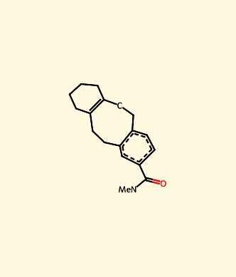 CNC(=O)c1ccc2c(c1)CCC1=C(CCCC1)CC2